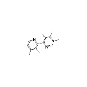 Cc1ccnc(-c2ncc(C)c(C)c2C)c1C